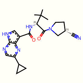 CC(C)(C)[C@@H](NC(=O)c1c[nH]c2ncc(C3CC3)nc12)C(=O)N1CC[C@H](C#N)C1